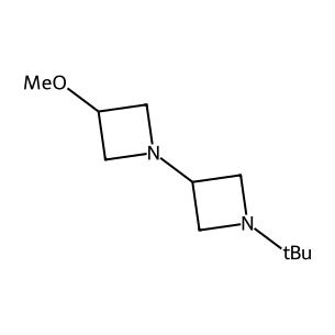 COC1CN(C2CN(C(C)(C)C)C2)C1